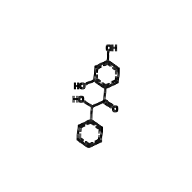 O=C(c1ccc(O)cc1O)C(O)c1ccccc1